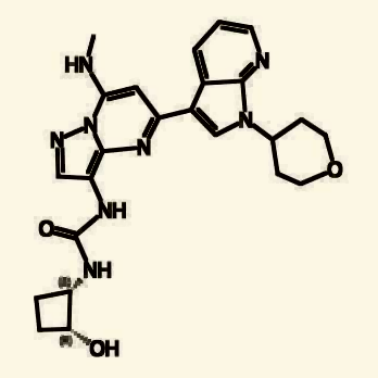 CNc1cc(-c2cn(C3CCOCC3)c3ncccc23)nc2c(NC(=O)N[C@H]3CC[C@H]3O)cnn12